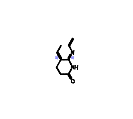 C=C/N=C1/NC(=O)CC/C1=C/C